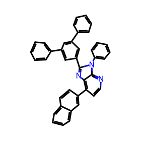 c1ccc(-c2cc(-c3ccccc3)cc(-c3nc4c(-c5ccc6ccccc6c5)ccnc4n3-c3ccccc3)c2)cc1